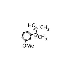 COc1cccc([C@H](C)[C@@H](C)O)c1